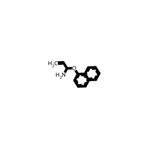 C=CC(N)Oc1cccc2ccccc12